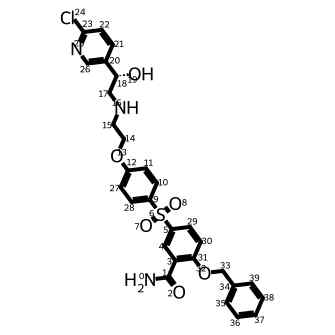 NC(=O)c1cc(S(=O)(=O)c2ccc(OCCNC[C@@H](O)c3ccc(Cl)nc3)cc2)ccc1OCc1ccccc1